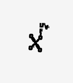 O=S(=O)([O-])OF.[Li+].[V]